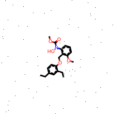 CCc1ccc(OCc2c(OC)cccc2N(O)C(=O)OC)c(CC)c1